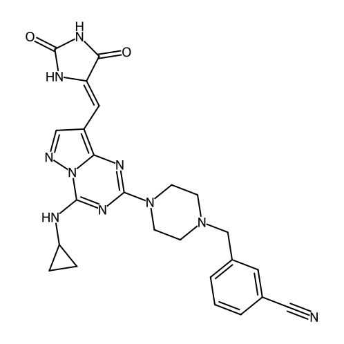 N#Cc1cccc(CN2CCN(c3nc(NC4CC4)n4ncc(/C=C5\NC(=O)NC5=O)c4n3)CC2)c1